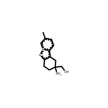 Cc1ccc2c3c(nn2c1)CCC(N)(CO)C3